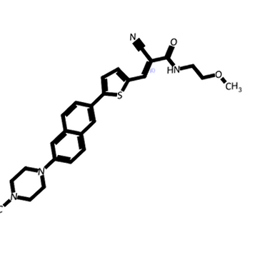 COCCNC(=O)/C(C#N)=C/c1ccc(-c2ccc3cc(N4CCN(C)CC4)ccc3c2)s1